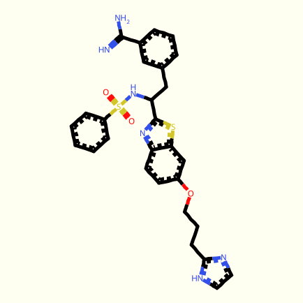 N=C(N)c1cccc(CC(NS(=O)(=O)c2ccccc2)c2nc3ccc(OCCCc4ncc[nH]4)cc3s2)c1